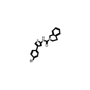 O=C(Nc1cc(-c2ccc(Br)cc2)cs1)N1CCc2ccccc2C1